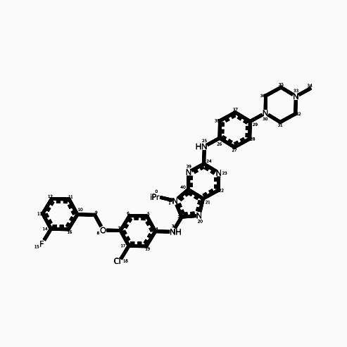 CC(C)n1c(Nc2ccc(OCc3cccc(F)c3)c(Cl)c2)nc2cnc(Nc3ccc(N4CCN(C)CC4)cc3)nc21